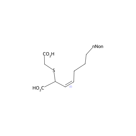 CCCCCCCCCCCC/C=C\C(SCC(=O)O)C(=O)O